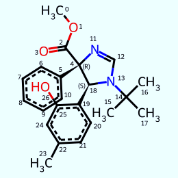 COC(=O)[C@]1(c2ccccc2)N=CN(C(C)(C)C)[C@H]1c1ccc(C)cc1O